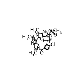 C[C@@H]1Cc2nn3c(c2CN1C(=O)c1ccc(Cl)c(C(F)(F)F)c1)C(=O)N([C@H](C)c1ccc(NS(C)(=O)=O)cn1)C[C@H]3C